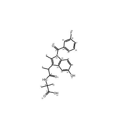 Cc1c(C(C)C(=O)NC(C)(C)C(=O)O)c2cc(O)ccc2n1C(=O)c1cccc(F)c1